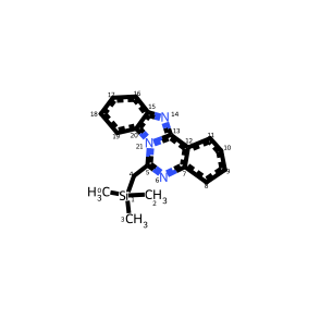 C[Si](C)(C)Cc1nc2ccccc2c2nc3ccccc3n12